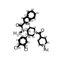 CC(=O)N1CCC(C(=O)N2CC[C@@H](N(C)C(=O)c3cc4ccccc4s3)[C@H](c3ccc(Cl)c(Cl)c3)C2)CC1